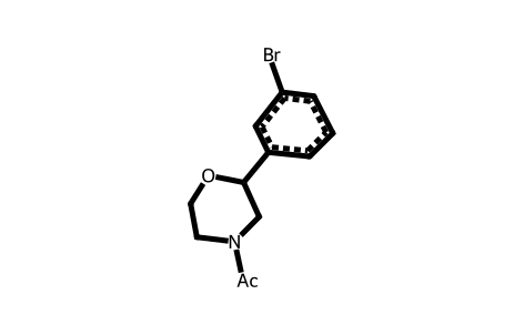 CC(=O)N1CCOC(c2cccc(Br)c2)C1